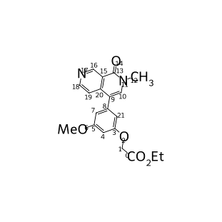 CCOC(=O)COc1cc(OC)cc(-c2cn(C)c(=O)c3cnccc23)c1